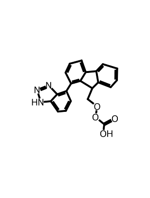 O=C(O)OOCC1c2ccccc2-c2cccc(-c3cccc4[nH]nnc34)c21